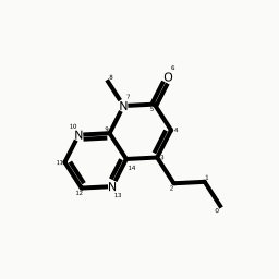 CCCc1cc(=O)n(C)c2nccnc12